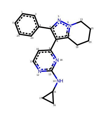 c1ccc(-c2nn3c(c2-c2ccnc(NC4CC4)n2)CCCC3)cc1